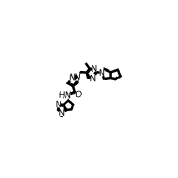 Cc1nc(N2CC3CCCC3C2)ncc1Cn1cc(C(=O)N[C@@H]2CCc3c2ncn3C)cn1